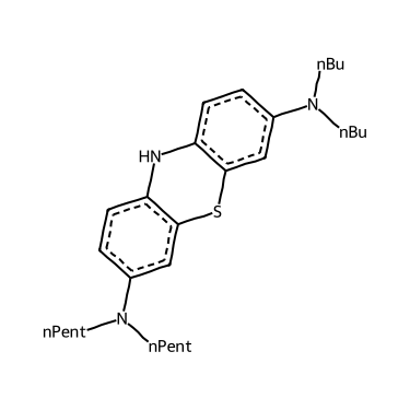 CCCCCN(CCCCC)c1ccc2c(c1)Sc1cc(N(CCCC)CCCC)ccc1N2